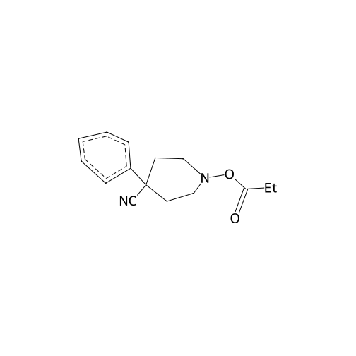 CCC(=O)ON1CCC(C#N)(c2ccccc2)CC1